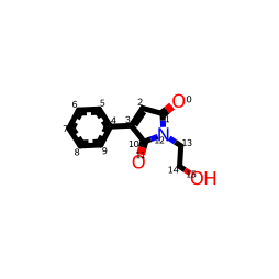 O=C1C=C(c2ccccc2)C(=O)N1CCO